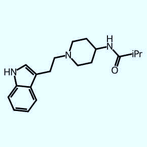 CC(C)C(=O)NC1CCN(CCc2c[nH]c3ccccc23)CC1